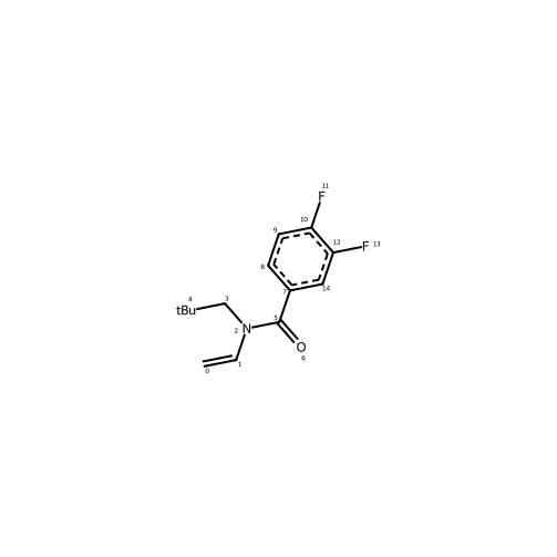 C=CN(CC(C)(C)C)C(=O)c1ccc(F)c(F)c1